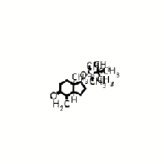 C=C1C(=O)CC[C@]2(C)[C@@H](O[Si](C)(C)C(C)(C)C)CC[C@@H]12